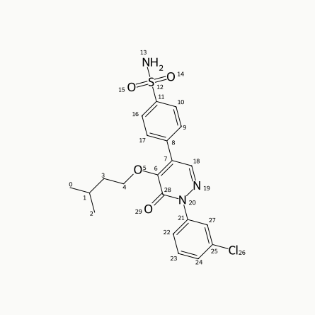 CC(C)CCOc1c(-c2ccc(S(N)(=O)=O)cc2)cnn(-c2cccc(Cl)c2)c1=O